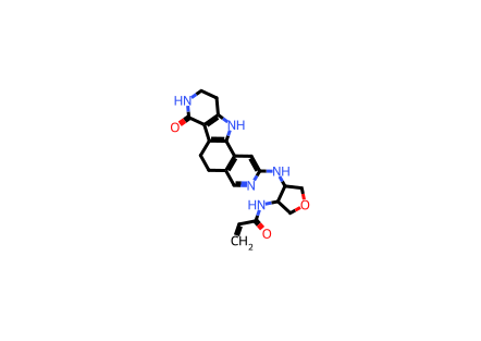 C=CC(=O)NC1COCC1Nc1cc2c(cn1)CCc1c-2[nH]c2c1C(=O)NCC2